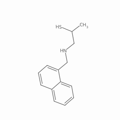 CC(S)CNCc1cccc2ccccc12